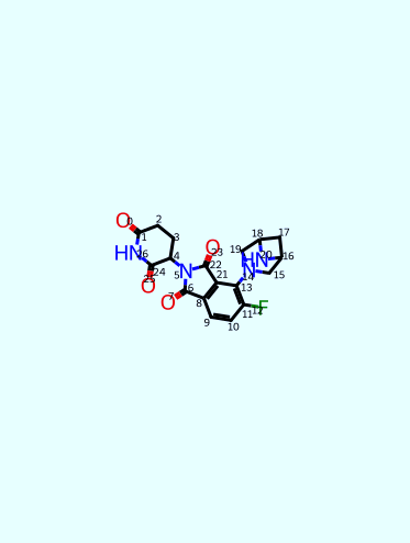 O=C1CCC(N2C(=O)c3ccc(F)c(N4CC5CC(C4)N5)c3C2=O)C(=O)N1